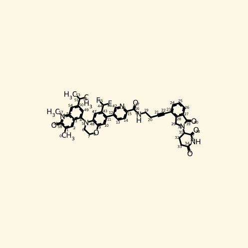 Cc1cc2c(N3CCOc4cc(-c5ccc(C(=O)NCCC#Cc6cccc7c6CN(C6CCC(=O)NC6=O)C7=O)nc5)c(C(F)F)cc43)cc(C(C)C)cc2n(C)c1=O